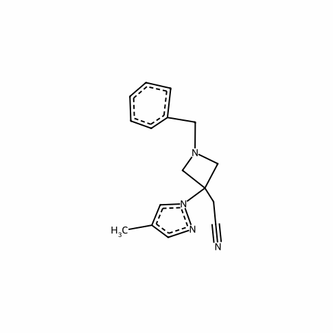 Cc1cnn(C2(CC#N)CN(Cc3ccccc3)C2)c1